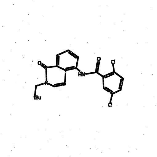 CC(C)(C)Cn1ccc2c(NC(=O)c3cc(Cl)ccc3Cl)cccc2c1=O